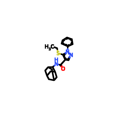 CCSc1c(C(=O)NC2C3CC4CC(C3)CC2C4)cnn1-c1ccccc1